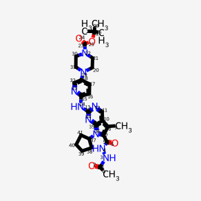 CC(=O)NNC(=O)c1c(C)c2cnc(Nc3ccc(N4CCN(C(=O)OC(C)(C)C)CC4)cn3)nc2n1C1CCCC1